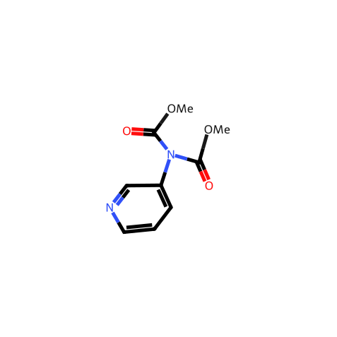 COC(=O)N(C(=O)OC)c1cccnc1